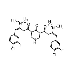 CN(C)/C(=C/c1ccc(Cl)c(F)c1)CC(=O)C1CNCC(C(=O)C/C(=C\c2ccc(Cl)c(F)c2)N(C)C)C1=O